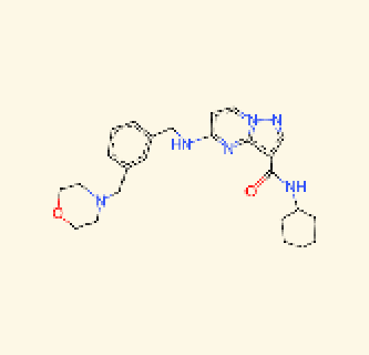 O=C(NC1CCCCC1)c1cnn2ccc(NCc3cccc(CN4CCOCC4)c3)nc12